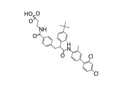 Cc1cc(-c2ccc(Cl)cc2Cl)ccc1NC(=O)C(Cc1ccc(C(=O)NCCS(=O)(=O)O)cc1)c1ccc(C(C)(C)C)cc1